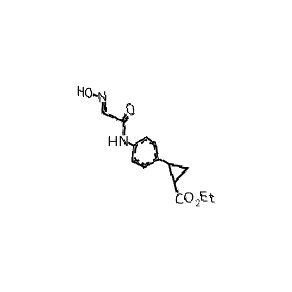 CCOC(=O)C1CC1c1ccc(NC(=O)/C=N/O)cc1